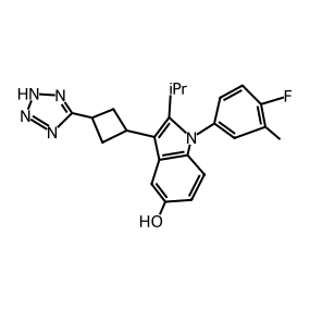 Cc1cc(-n2c(C(C)C)c(C3CC(c4nn[nH]n4)C3)c3cc(O)ccc32)ccc1F